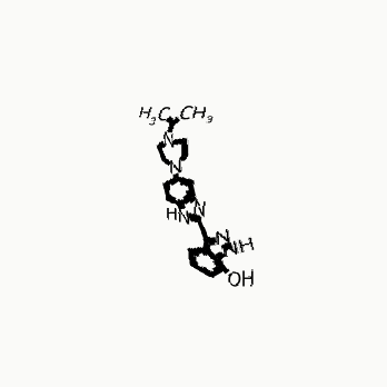 CC(C)N1CCN(c2ccc3[nH]c(-c4n[nH]c5c(O)cccc45)nc3c2)CC1